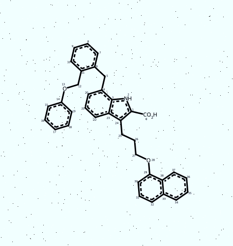 O=C(O)c1[nH]c2c(Cc3ccccc3COc3ccccc3)cccc2c1CCCOc1cccc2ccccc12